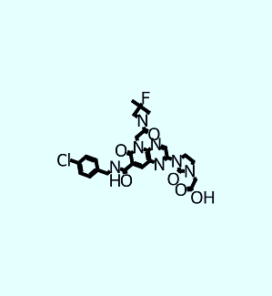 CC1(F)CN(C(=O)Cn2c(=O)c(C(=O)NCc3ccc(Cl)cc3)cc3nc(N4CCN(CC(=O)O)C4=O)cnc32)C1